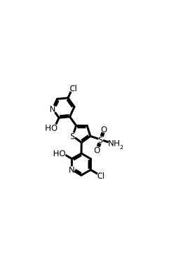 NS(=O)(=O)c1cc(-c2cc(Cl)cnc2O)sc1-c1cc(Cl)cnc1O